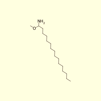 CCCCCCCCCCCCCCCC(N)OC